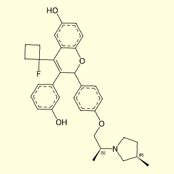 C[C@@H]1CCN([C@@H](C)COc2ccc(C3Oc4ccc(O)cc4C(C4(F)CCC4)=C3c3cccc(O)c3)cc2)C1